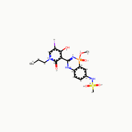 CCOP1(=O)N=C(c2c(O)c(I)cn(CCC(C)(C)C)c2=O)Nc2ccc(NS(C)(=O)=O)cc21